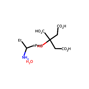 CCCCCC(N)CC.O.O=C(O)CC(O)(CC(=O)O)C(=O)O